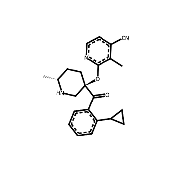 Cc1c(C#N)ccnc1O[C@]1(C(=O)c2ccccc2C2CC2)CC[C@@H](C)NC1